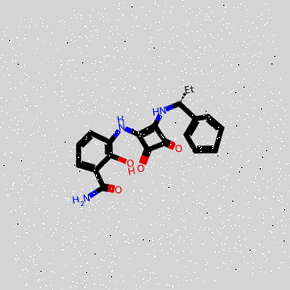 CC[C@@H](Nc1c(Nc2cccc(C(N)=O)c2O)c(=O)c1=O)c1ccccc1